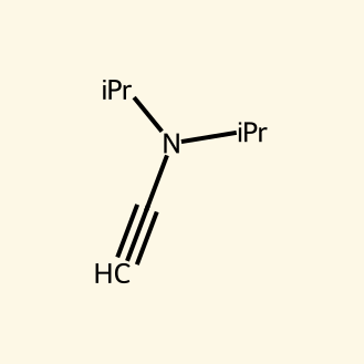 C#CN(C(C)C)C(C)C